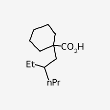 CCCC(CC)CC1(C(=O)O)CCCCC1